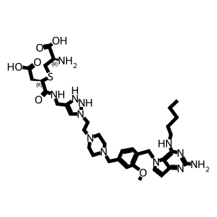 CCCCCNc1nc(N)nc2ccn(Cc3ccc(CN4CCN(CCN5C=C(CNC(=O)[C@@H](CC(=O)O)SC[C@H](N)C(=O)O)NN5)CC4)cc3OC)c12